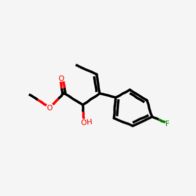 CC=C(c1ccc(F)cc1)C(O)C(=O)OC